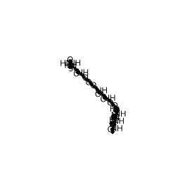 C=CC(=O)Nc1cccc(Nc2nc(Nc3ccc(OCCOCCNC(=O)CCCC(=O)NCCCOCCOCCOCCCNC(=O)CCC[C@H]4SC[C@H]5NC(=O)N[C@H]54)c(F)c3)ncc2F)c1